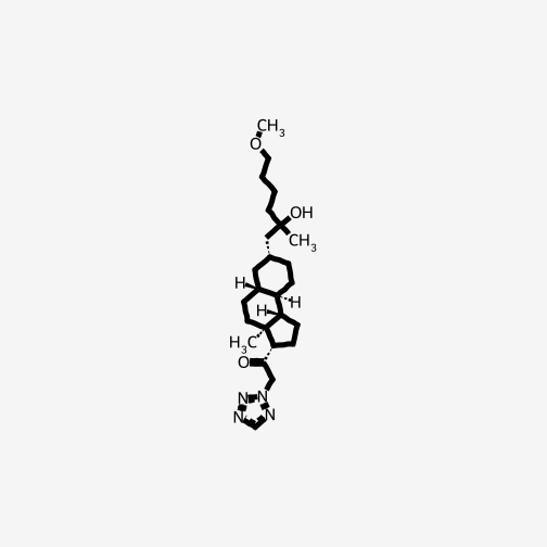 COCCCCC(C)(O)C[C@@H]1CC[C@@H]2[C@H](CC[C@]3(C)[C@@H](C(=O)Cn4ncnn4)CC[C@@H]23)C1